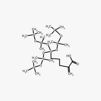 C=C(CCC[Si](O[Si](C)(C)O[Si](C)(C)C)(O[Si](C)(C)O[Si](C)(C)C)O[Si](C)(C)O[Si](C)(C)C)C(=O)O